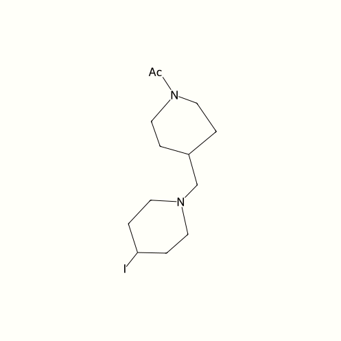 CC(=O)N1CCC(CN2CCC(I)CC2)CC1